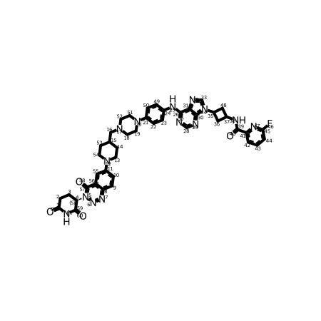 O=C1CC[C@H](n2nnc3ccc(N4CCC(CN5CCN(c6ccc(Nc7ncnc8c7ncn8C7CC(NC(=O)c8cccc(F)n8)C7)cc6)CC5)CC4)cc3c2=O)C(=O)N1